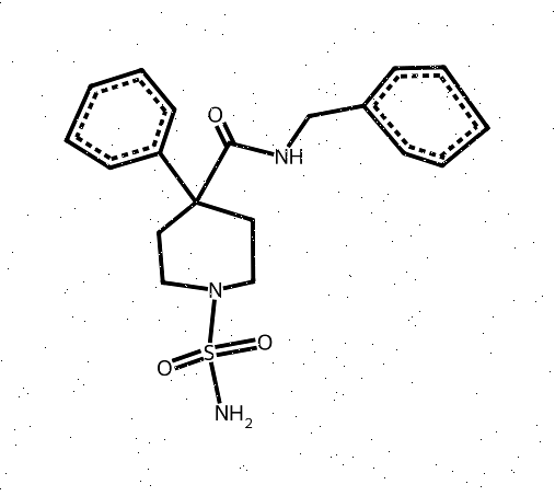 NS(=O)(=O)N1CCC(C(=O)NCc2ccccc2)(c2ccccc2)CC1